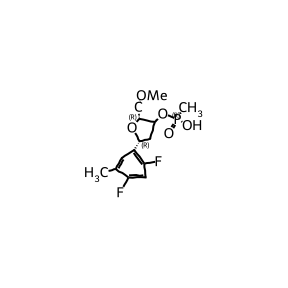 COC[C@H]1O[C@@H](c2cc(C)c(F)cc2F)CC1O[P@](C)(=O)O